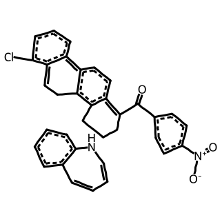 C1=CNc2ccccc2C=C1.O=C(C1=c2ccc3c(c2CCC1)CC=c1c(Cl)cccc1=3)c1ccc([N+](=O)[O-])cc1